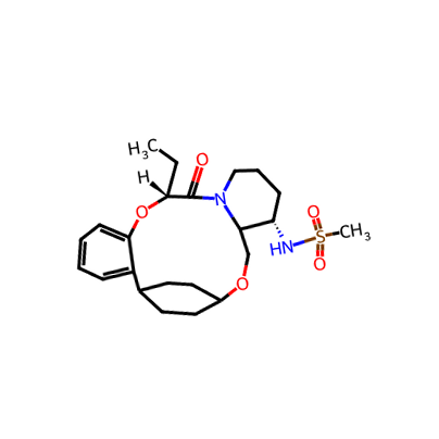 CC[C@H]1Oc2ccccc2C2CCC(CC2)OCC2[C@@H](NS(C)(=O)=O)CCCN2C1=O